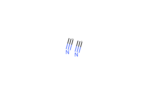 [C]#N.[C]#N